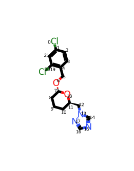 Clc1ccc(CO[C@H]2CCC[C@H](Cn3cncn3)O2)c(Cl)c1